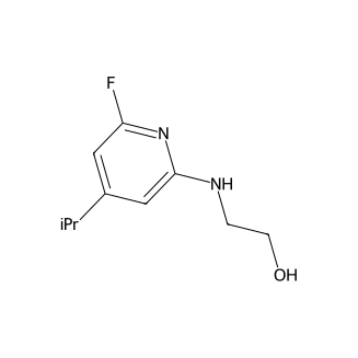 CC(C)c1cc(F)nc(NCCO)c1